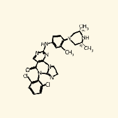 Cc1cc(Nc2ncc3c(n2)N2CCN=C2N(c2c(Cl)cccc2Cl)C3=O)ccc1N1C[C@@H](C)N[C@@H](C)C1